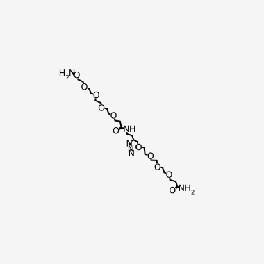 [N-]=[N+]=NC(CCNC(=O)CCOCCOCCOCCOCCON)COCCOCCOCCOCCC(N)=O